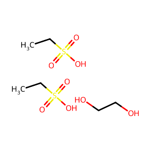 CCS(=O)(=O)O.CCS(=O)(=O)O.OCCO